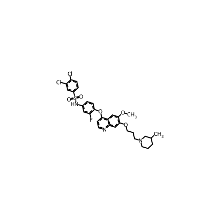 COc1cc2c(Oc3ccc(NS(=O)(=O)c4ccc(Cl)c(Cl)c4)cc3F)ccnc2cc1OCCCN1CCCC(C)C1